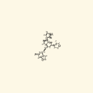 C[C@@H]1COCCN1c1cc(C#Cc2cc(F)cc3c2CCO3)c2cnn(-c3cc[nH]n3)c2n1